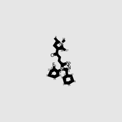 Cc1cc(C(=O)CCc2nnc(-c3ccccc3)n2-c2ccccc2F)c(C)n1C